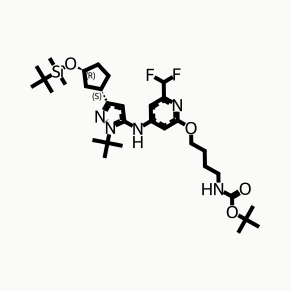 CC(C)(C)OC(=O)NCCCCOc1cc(Nc2cc([C@H]3CC[C@@H](O[Si](C)(C)C(C)(C)C)C3)nn2C(C)(C)C)cc(C(F)F)n1